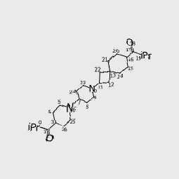 CC(C)C(=O)C1CCN(C2CCN(C3CC4(CCC(C(=O)C(C)C)CC4)C3)CC2)CC1